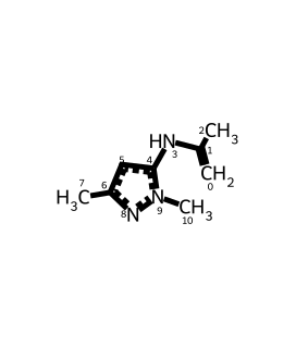 C=C(C)Nc1cc(C)nn1C